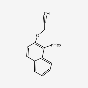 C#CCOc1ccc2ccccc2c1CCCCCC